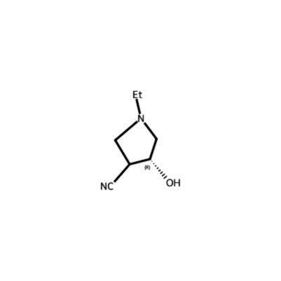 CCN1CC(C#N)[C@@H](O)C1